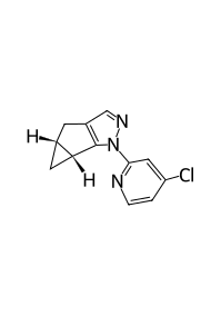 Clc1ccnc(-n2ncc3c2[C@@H]2C[C@@H]2C3)c1